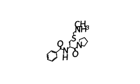 CNCSC[C@H](NC(=O)c1ccccc1)C(=O)N1CCCC1